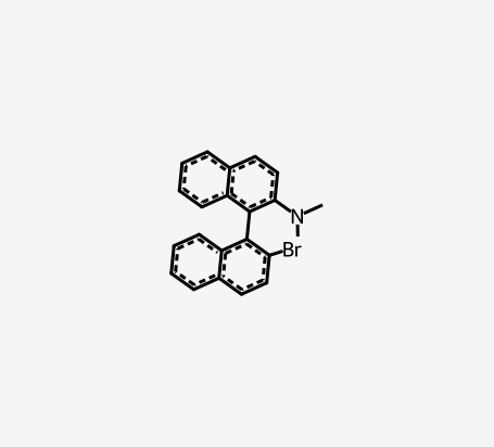 CN(C)c1ccc2ccccc2c1-c1c(Br)ccc2ccccc12